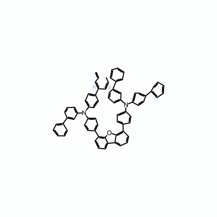 C=C/C=C(\C=C/C)c1ccc(N(c2ccc(-c3cccc4c3oc3c(-c5ccc(N(c6ccc(-c7ccccc7)cc6)c6cccc(-c7ccccc7)c6)cc5)cccc34)cc2)c2cccc(-c3ccccc3)c2)cc1